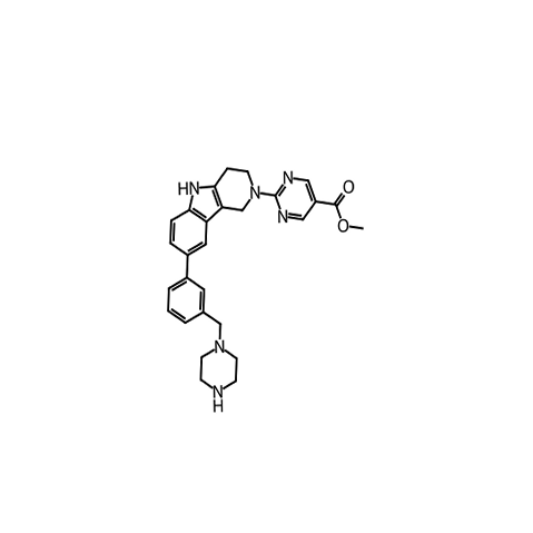 COC(=O)c1cnc(N2CCc3[nH]c4ccc(-c5cccc(CN6CCNCC6)c5)cc4c3C2)nc1